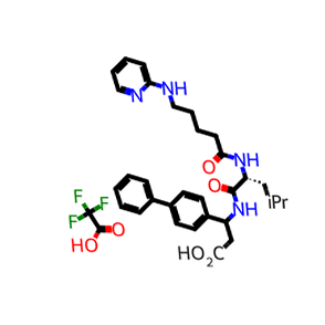 CC(C)C[C@@H](NC(=O)CCCCNc1ccccn1)C(=O)NC(CC(=O)O)c1ccc(-c2ccccc2)cc1.O=C(O)C(F)(F)F